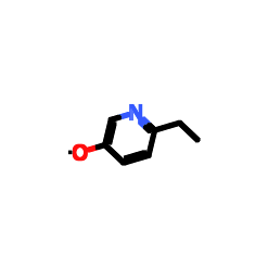 CCc1ccc([O])cn1